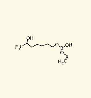 C=COB(O)OCCCCCC(O)C(F)(F)F